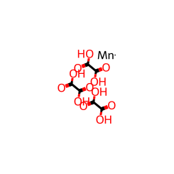 O=C(O)C(=O)O.O=C(O)C(=O)O.O=C(O)C(=O)O.[Mn]